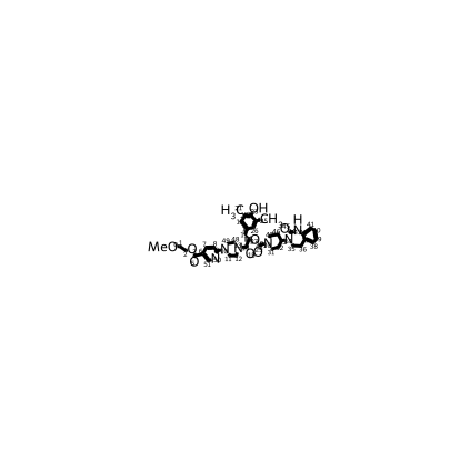 COCCOC(=O)c1ccc(N2CCN(C(=O)[C@@H](Cc3cc(C)c(O)c(C)c3)OC(=O)N3CCC(N4CCc5ccccc5NC4=O)CC3)CC2)nc1